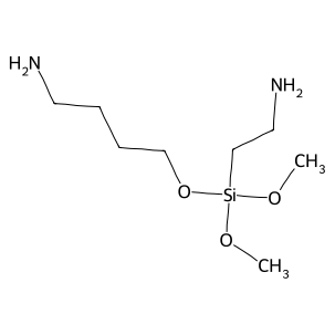 CO[Si](CCN)(OC)OCCCCN